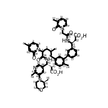 Cc1ccn(C(CC(C)Cc2ccc(C)c(-c3cccc([C@H](CC(=O)O)NC(=O)Cn4cccc(C)c4=O)c3)c2)C(=O)N[C@H](CC(=O)O)c2cnc(C)c(N3CCOC[C@@H]3C)c2)c(=O)c1